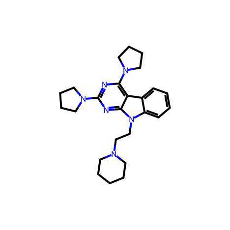 c1ccc2c(c1)c1c(N3CCCC3)nc(N3CCCC3)nc1n2CCN1CCCCC1